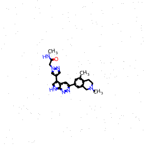 CNC(=O)Cn1cc(-c2c[nH]c3nnc(-c4cc(C)c5c(c4)CN(C)CC5)cc23)cn1